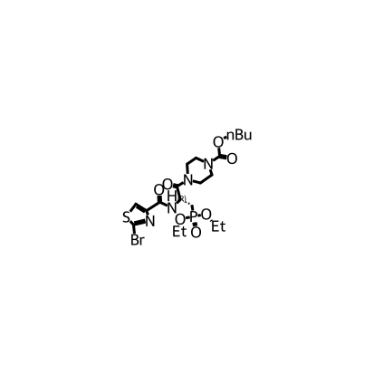 CCCCOC(=O)N1CCN(C(=O)[C@H](CP(=O)(OCC)OCC)NC(=O)c2csc(Br)n2)CC1